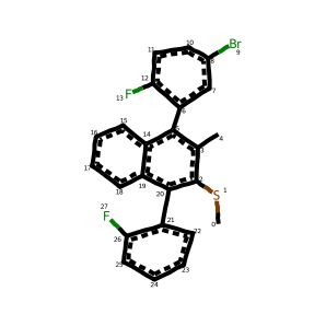 CSc1c(C)c(-c2cc(Br)ccc2F)c2ccccc2c1-c1ccccc1F